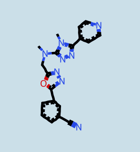 CN(Cc1nnc(-c2cccc(C#N)c2)o1)c1nnc(-c2ccncc2)n1C